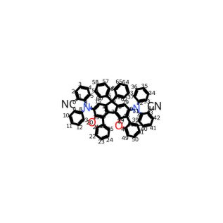 N#Cc1ccccc1N(c1ccccc1)c1cc2c(c3c1oc1ccccc13)-c1c(cc(N(c3ccccc3)c3ccccc3C#N)c3c1oc1ccccc13)C2(c1ccccc1)c1ccccc1